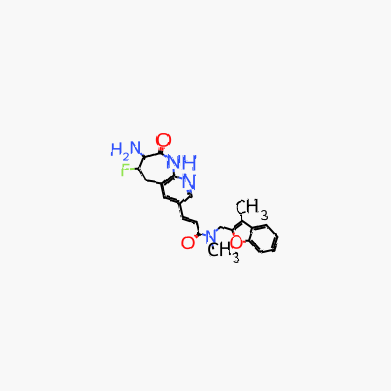 Cc1c(CN(C)C(=O)/C=C/c2cnc3c(c2)CC(F)C(N)C(=O)N3)oc2ccccc12